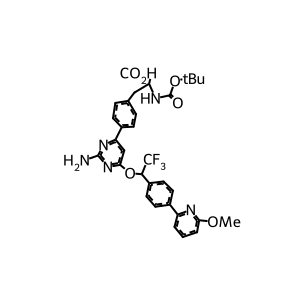 COc1cccc(-c2ccc(C(Oc3cc(-c4ccc(CC(NC(=O)OC(C)(C)C)C(=O)O)cc4)nc(N)n3)C(F)(F)F)cc2)n1